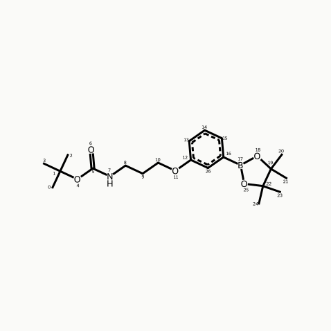 CC(C)(C)OC(=O)NCCCOc1cccc(B2OC(C)(C)C(C)(C)O2)c1